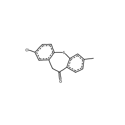 Cc1ccc2c(c1)Sc1ccc(Cl)cc1CC2=O